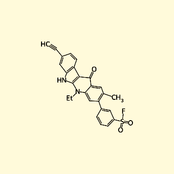 C#Cc1ccc2c(c1)[nH]c1c2c(=O)c2cc(C)c(-c3cccc(S(=O)(=O)F)c3)cc2n1CC